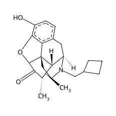 C[C@@H]1[C@H]2[C@H]3Cc4ccc(O)c5c4[C@@]2(CCN3CC2CCC2)C(O5)C(=O)[C@H]1C